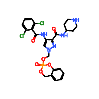 O=C(NC1CCNCC1)c1nn(COP2(=O)OCc3ccccc3O2)cc1NC(=O)c1c(Cl)cccc1Cl